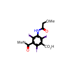 CNC(=O)c1c(I)c(NC(=O)COC)c(I)c(C(=O)O)c1I